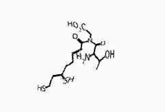 CC(O)C(N)C(=O)N(CC(=O)O)C(=O)CCCCC(S)CCS